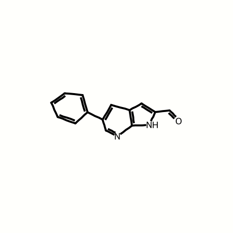 O=Cc1cc2cc(-c3ccccc3)cnc2[nH]1